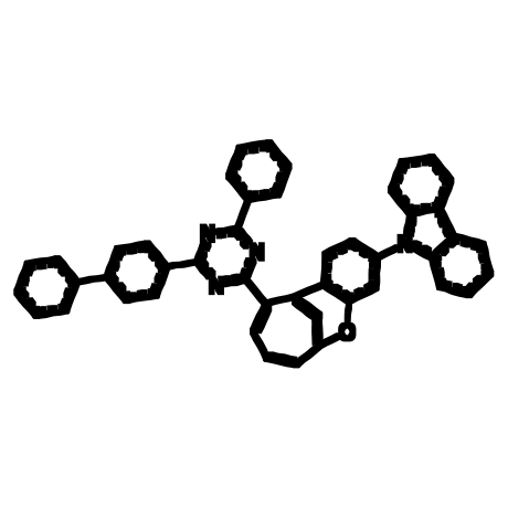 C1=C2C=CC=C(c3nc(-c4ccccc4)nc(-c4ccc(-c5ccccc5)cc4)n3)C=1c1ccc(-n3c4ccccc4c4ccccc43)cc1O2